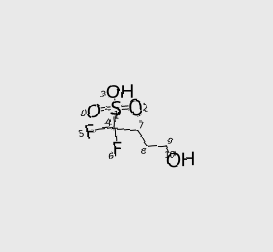 O=S(=O)(O)C(F)(F)CCCO